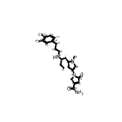 CCC(CC1CC(N2CC(C(N)=O)=CC2=O)CN1C)NCCCc1ccc(Cl)c(Cl)c1